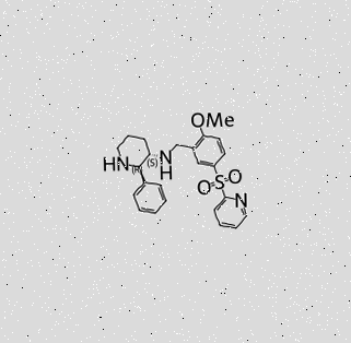 COc1ccc(S(=O)(=O)c2ccccn2)cc1CN[C@H]1CCCN[C@@H]1c1ccccc1